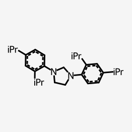 CC(C)c1ccc(N2CCN(c3ccc(C(C)C)cc3C(C)C)C2)c(C(C)C)c1